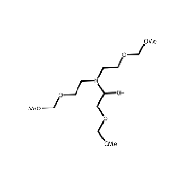 COCOCCN(CCOCOC)C(O)COCOC